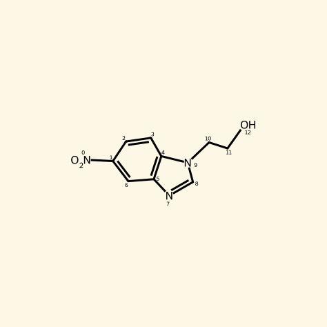 O=[N+]([O-])c1ccc2c(c1)ncn2CCO